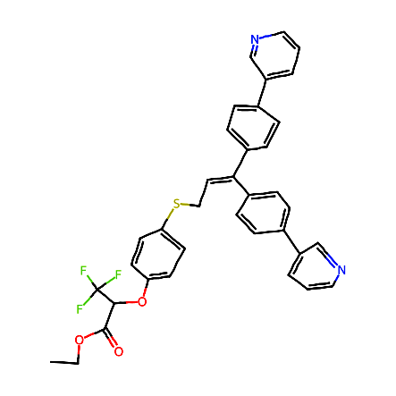 CCOC(=O)C(Oc1ccc(SCC=C(c2ccc(-c3cccnc3)cc2)c2ccc(-c3cccnc3)cc2)cc1)C(F)(F)F